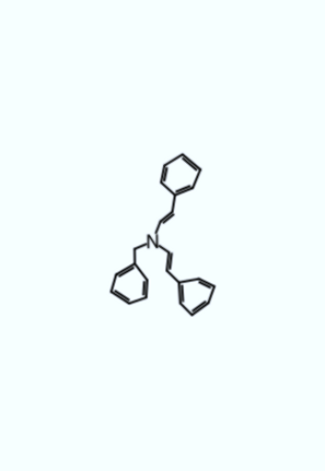 C(=CN(C=Cc1ccccc1)Cc1ccccc1)c1ccccc1